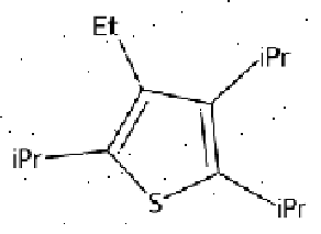 CCc1c(C(C)C)sc(C(C)C)c1C(C)C